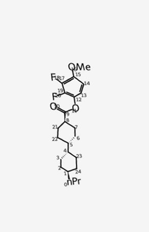 CCC[C@H]1CC[C@H]([C@H]2CC[C@H](C(=O)Oc3ccc(OC)c(F)c3F)CC2)CC1